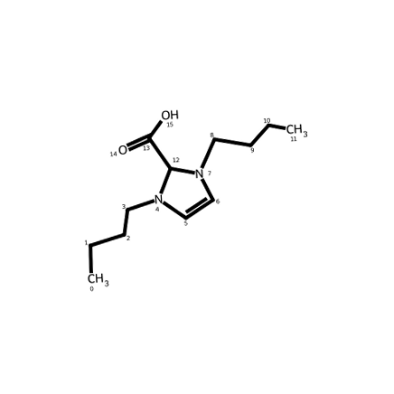 CCCCN1C=CN(CCCC)C1C(=O)O